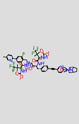 COC(=O)N[C@H](C(=O)NC(Cc1ccc(C#Cc2ccc(N3CC4CCC(C3)N4C3COC3)nc2)cc1)[C@@H](O)CN(Cc1c(F)cc(-c2ccc(C)cn2)cc1F)NC(=O)[C@@H](NC(=O)OC)C(C)(C)C(F)(F)F)C(C)(C)C(F)(F)F